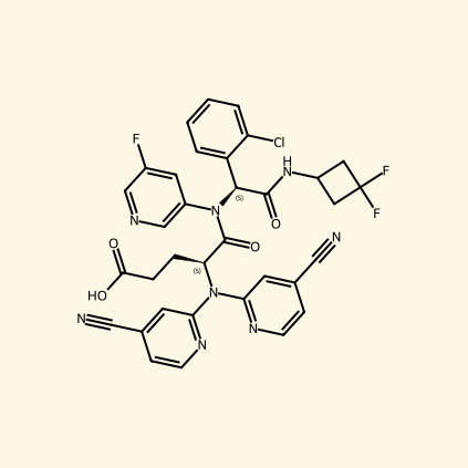 N#Cc1ccnc(N(c2cc(C#N)ccn2)[C@@H](CCC(=O)O)C(=O)N(c2cncc(F)c2)[C@H](C(=O)NC2CC(F)(F)C2)c2ccccc2Cl)c1